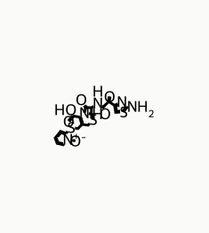 Nc1nc(C(=O)C(=O)NC2C(=O)N3C(C(=O)O)=C(CSc4cccc[n+]4[O-])CS[C@@H]23)cs1